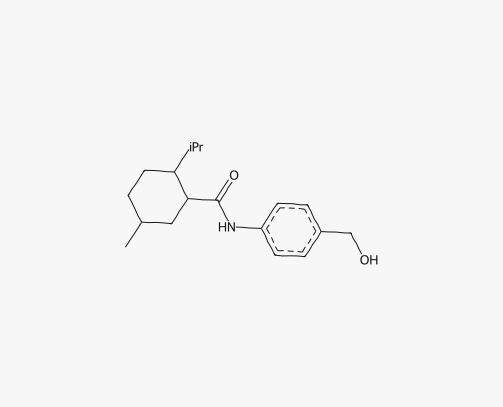 CC1CCC(C(C)C)C(C(=O)Nc2ccc(CO)cc2)C1